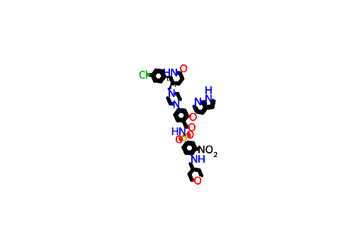 O=C1CC[C@H](CN2CCN(c3ccc(C(=O)NS(=O)(=O)c4ccc(NCC5CCOCC5)c([N+](=O)[O-])c4)c(Oc4cnc5[nH]ccc5c4)c3)CC2)[C@@H](c2ccc(Cl)cc2)N1